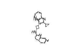 c1cnc2c(c1)nc(C1CC1)n2C1CC(Nc2ccc3ccncc3n2)C1